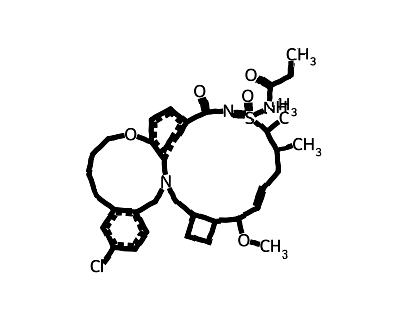 CCC(=O)NS1(=O)=NC(=O)c2ccc3c(c2)N(Cc2ccc(Cl)cc2CCCCO3)CC2CCC2C(OC)/C=C/CC(C)C1C